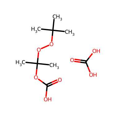 CC(C)(C)OOC(C)(C)OC(=O)O.O=C(O)O